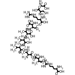 CC(C)C(N)C(=O)O.CC(C)C(N)C(=O)O.CC(O)C(N)C(=O)O.CC(O)C(N)C(=O)O.CCC(C)C(N)C(=O)O.CCC(C)C(N)C(=O)O.N=C(N)NCCCC(N)C(=O)O.N=C(N)NCCCC(N)C(=O)O.NC(CS)C(=O)O.NCC(=O)O